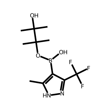 Cc1[nH]nc(C(F)(F)F)c1B(O)OC(C)(C)C(C)(C)O